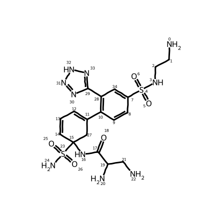 NCCNS(=O)(=O)c1ccc(C2=CC=CC(NC(=O)C(N)CN)(S(N)(=O)=O)C2)c(-c2nn[nH]n2)c1